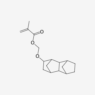 C=C(C)C(=O)OCOC1CC2CC1C1C3CCC(C3)C21